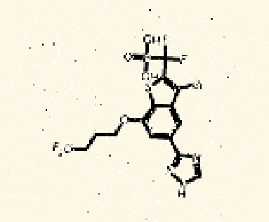 O=P(O)(O)C(F)(F)c1sc2c(OCCCC(F)(F)F)cc(-c3nc[nH]n3)cc2c1Br